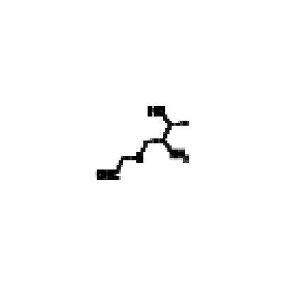 CC(O)C(N)CSCC=O